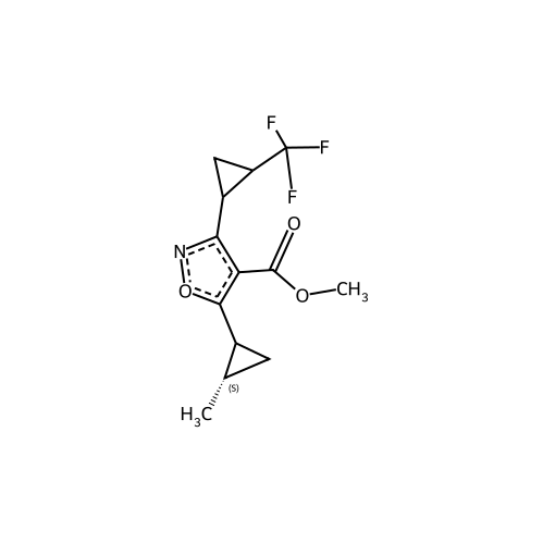 COC(=O)c1c(C2CC2C(F)(F)F)noc1C1C[C@@H]1C